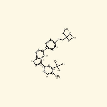 NCC1(COc2ccc(-c3ccc4ncc(-c5cnc(N)c(C(F)(F)F)c5)n4n3)cc2)COC1